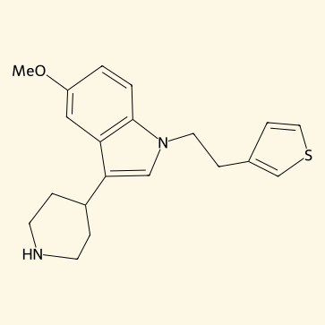 COc1ccc2c(c1)c(C1CCNCC1)cn2CCc1ccsc1